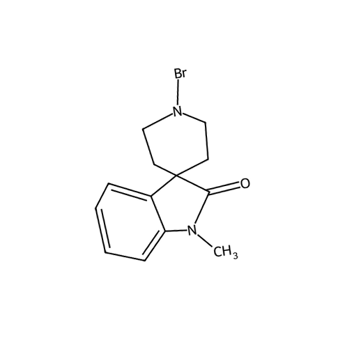 CN1C(=O)C2(CCN(Br)CC2)c2ccccc21